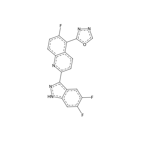 Fc1cc2[nH]nc(-c3ccc4c(-c5nnco5)c(F)ccc4n3)c2cc1F